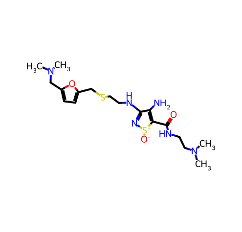 CN(C)CCNC(=O)c1c(N)c(NCCSCc2ccc(CN(C)C)o2)n[s+]1[O-]